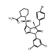 C[C@@]1(Cc2ccc(Br)cc2)C(=O)N(c2cc(Cl)cc(Cl)c2)c2ncc(S(=O)(=O)N3CCCCC3C(N)=O)n21